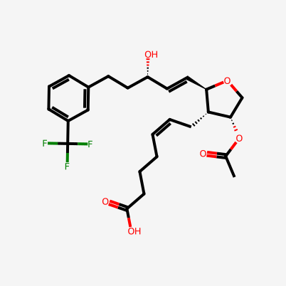 CC(=O)O[C@H]1CO[C@H](/C=C/[C@@H](O)CCc2cccc(C(F)(F)F)c2)[C@H]1C/C=C\CCCC(=O)O